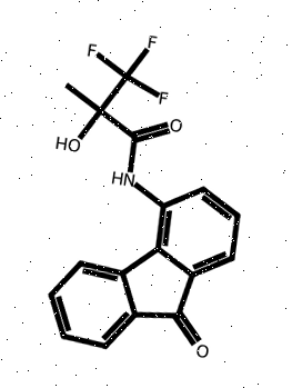 CC(O)(C(=O)Nc1cccc2c1-c1ccccc1C2=O)C(F)(F)F